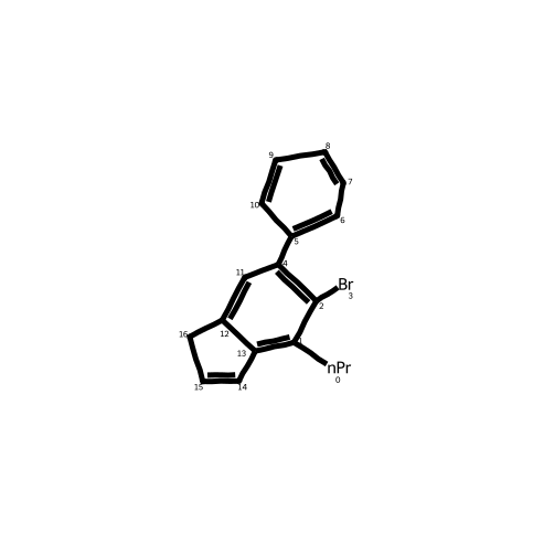 CCCc1c(Br)c(-c2ccccc2)cc2c1C=CC2